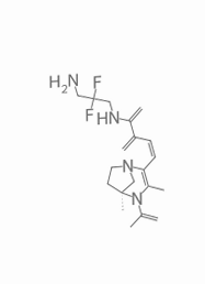 C=C(/C=C\C1=C(C)N(C(=C)C)[C@@]2(C)CCN1C2)C(=C)NCC(F)(F)CN